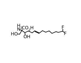 NC(CO)(C(=O)O)C(O)CC/C=C/CCCCCCC(F)F